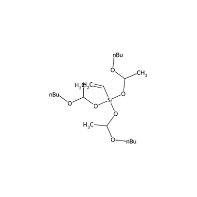 C=C[Si](OC(C)OCCCC)(OC(C)OCCCC)OC(C)OCCCC